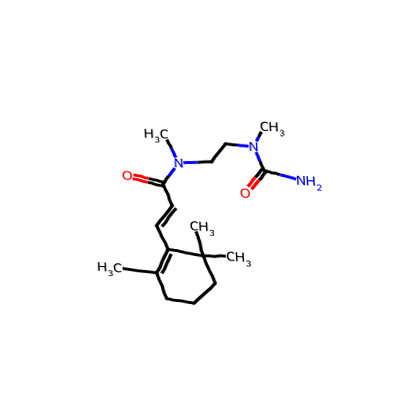 CC1=C(C=CC(=O)N(C)CCN(C)C(N)=O)C(C)(C)CCC1